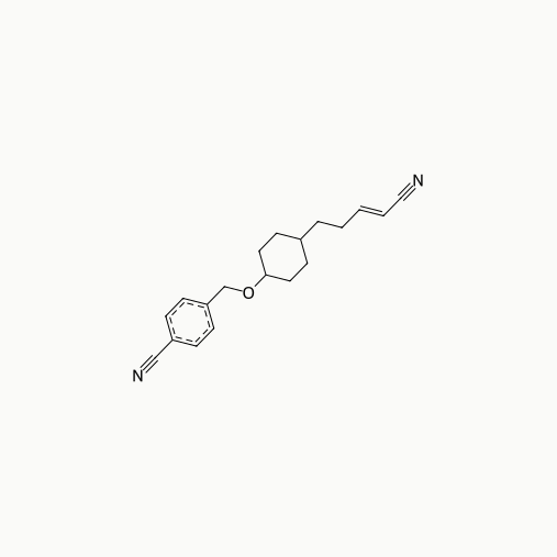 N#CC=CCCC1CCC(OCc2ccc(C#N)cc2)CC1